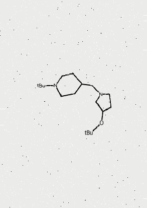 CC(C)(C)OC1CCN(CC2CCN(C(C)(C)C)CC2)C1